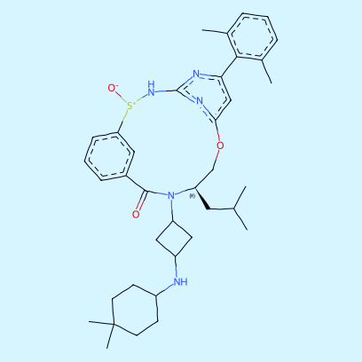 Cc1cccc(C)c1-c1cc2nc(n1)N[S+]([O-])c1cccc(c1)C(=O)N(C1CC(NC3CCC(C)(C)CC3)C1)[C@H](CC(C)C)CO2